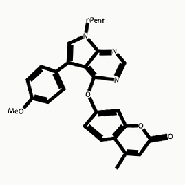 CCCCCn1cc(-c2ccc(OC)cc2)c2c(Oc3ccc4c(C)cc(=O)oc4c3)ncnc21